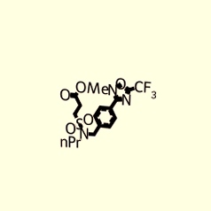 CCCN(Cc1ccc(-c2noc(C(F)(F)F)n2)cc1)S(=O)(=O)CCC(=O)OC